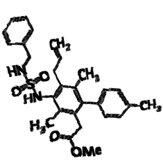 C=CCc1c(C)c(-c2ccc(C)cc2)c(CC(=O)OC)c(C)c1NS(=O)(=O)NCc1ccccc1